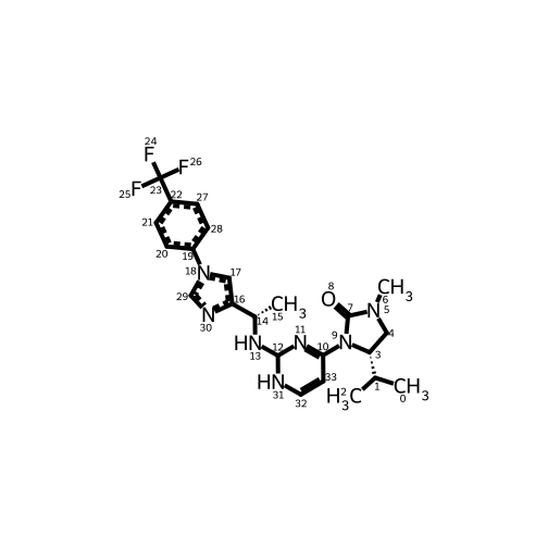 CC(C)[C@H]1CN(C)C(=O)N1C1=NC(N[C@@H](C)c2cn(-c3ccc(C(F)(F)F)cc3)cn2)NC=C1